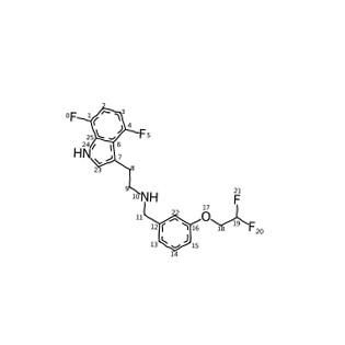 Fc1ccc(F)c2c(CCNCc3cccc(OCC(F)F)c3)c[nH]c12